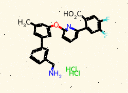 Cc1cc(Oc2cccc(-c3cc(F)c(F)cc3C(=O)O)n2)cc(-c2cccc(CN)c2)c1.Cl.Cl